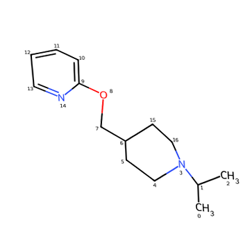 CC(C)N1CCC(COc2ccccn2)CC1